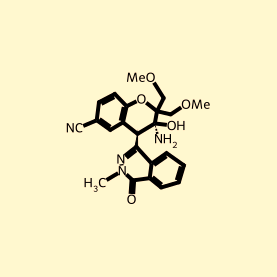 COCC1(COC)Oc2ccc(C#N)cc2[C@H](c2nn(C)c(=O)c3ccccc23)[C@]1(N)O